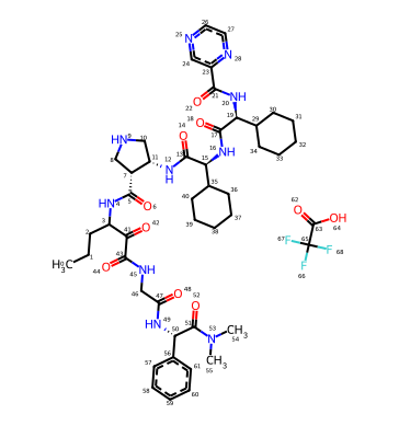 CCCC(NC(=O)[C@@H]1CNC[C@@H]1NC(=O)[C@@H](NC(=O)[C@@H](NC(=O)c1cnccn1)C1CCCCC1)C1CCCCC1)C(=O)C(=O)NCC(=O)N[C@H](C(=O)N(C)C)c1ccccc1.O=C(O)C(F)(F)F